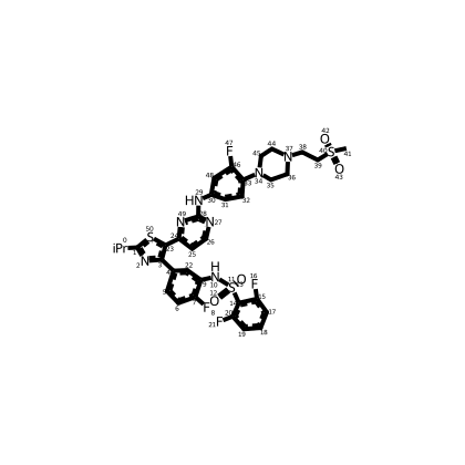 CC(C)c1nc(-c2ccc(F)c(NS(=O)(=O)c3c(F)cccc3F)c2)c(-c2ccnc(Nc3ccc(N4CCN(CCS(C)(=O)=O)CC4)c(F)c3)n2)s1